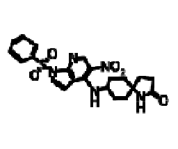 O=C1CCC2(CCC(Nc3c([N+](=O)[O-])cnc4c3ccn4S(=O)(=O)c3ccccc3)CC2)N1